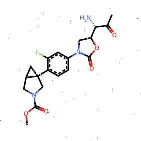 COC(=O)N1CC2CC2(c2ccc(N3CC([C@H](N)C(C)=O)OC3=O)cc2F)C1